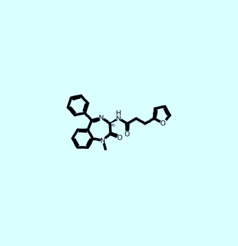 CN1C(=O)[C@H](NC(=O)CCc2ccco2)N=C(c2ccccc2)c2ccccc21